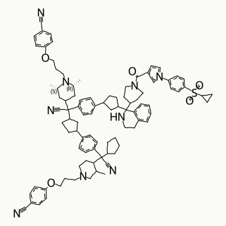 CC1CN(CCCOc2ccc(C#N)cc2)CCC1C(C#N)(c1ccc(C2CCC(C(C#N)(c3ccc(C4CCC(C5(C6CCN(C(=O)c7ccn(-c8ccc(S(=O)(=O)C9CC9)cc8)c7)CC6)NCCc6ccccc65)C4)cc3)C3C[C@@H](C)N(CCCOc4ccc(C#N)cc4)[C@@H](C)C3)C2)cc1)C1CCCC1